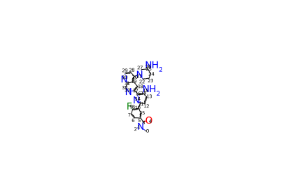 CN(C)C(=O)c1ccc(F)c(-c2ccc(N)c(-c3cc4c(N5CCCC(N)C5)ccnc4cn3)n2)c1